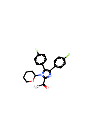 O=C(c1nc(-c2ccc(F)cc2)c(-c2ccc(F)cc2)n1C1CCCCO1)C(F)(F)F